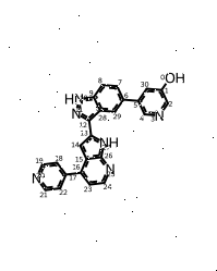 Oc1cncc(-c2ccc3[nH]nc(-c4cc5c(-c6ccncc6)ccnc5[nH]4)c3c2)c1